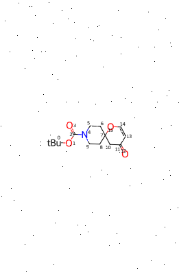 CC(C)(C)OC(=O)N1CCC2(CC1)CC(=O)C=CO2